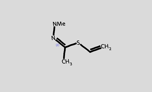 C=CS/C(C)=N\NC